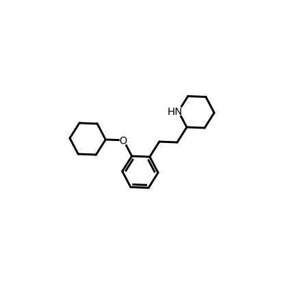 c1ccc(OC2CCCCC2)c(CCC2CCCCN2)c1